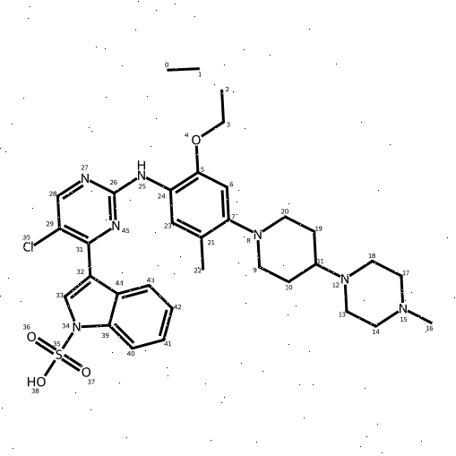 CC.CCOc1cc(N2CCC(N3CCN(C)CC3)CC2)c(C)cc1Nc1ncc(Cl)c(-c2cn(S(=O)(=O)O)c3ccccc23)n1